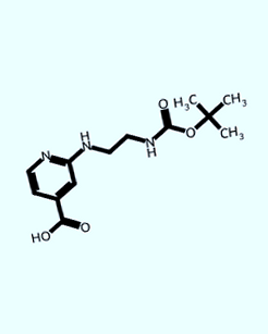 CC(C)(C)OC(=O)NCCNc1cc(C(=O)O)ccn1